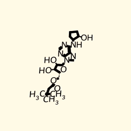 CC(C)(C)CC(=O)OC[C@H]1OC(n2cnc3c(NC4CCC[C@H]4O)ncnc32)[C@H](O)[C@@H]1O